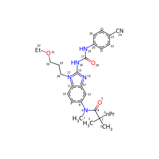 CCCC(C)(C)C(=O)N(C)c1ccc2c(c1)nc(NC(=O)Nc1ccc(C#N)cc1)n2CCCOCC